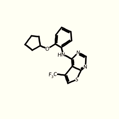 FC(F)(F)c1csc2ncnc(Nc3ccccc3OC3CCCC3)c12